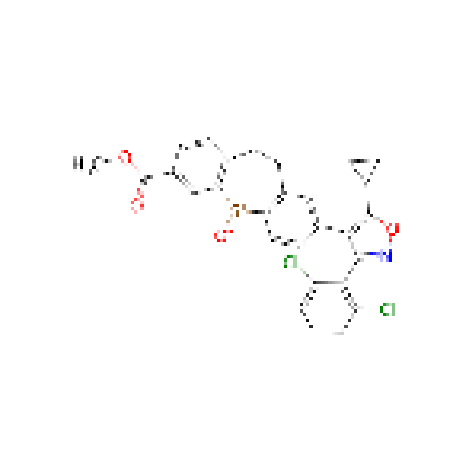 COC(=O)c1ccc2c(c1)[S+]([O-])c1ccc(-c3c(-c4c(Cl)cccc4Cl)noc3C3CC3)cc1CC2